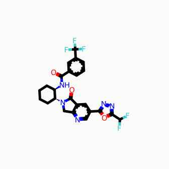 O=C(N[C@@H]1CCCC[C@H]1N1Cc2ncc(-c3nnc(C(F)F)o3)cc2C1=O)c1cccc(C(F)(F)F)c1